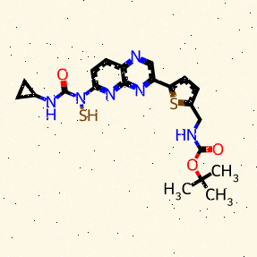 CC(C)(C)OC(=O)NCc1ccc(-c2cnc3ccc(N(S)C(=O)NC4CC4)nc3n2)s1